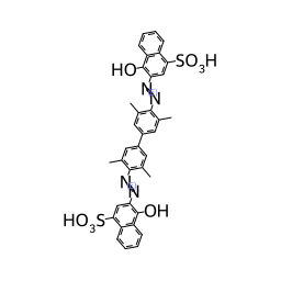 Cc1cc(-c2cc(C)c(/N=N/c3cc(S(=O)(=O)O)c4ccccc4c3O)c(C)c2)cc(C)c1/N=N/c1cc(S(=O)(=O)O)c2ccccc2c1O